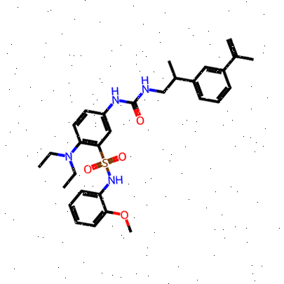 C=C(C)c1cccc(C(C)CNC(=O)Nc2ccc(N(CC)CC)c(S(=O)(=O)Nc3ccccc3OC)c2)c1